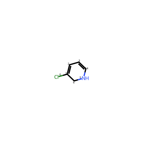 ClC1=CC=[C]NC1